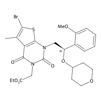 CCOC(=O)Cn1c(=O)c2c(C)c(Br)sc2n(C[C@H](OC2CCOCC2)c2ccccc2OC)c1=O